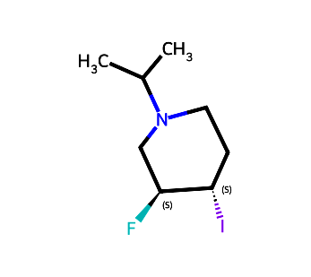 CC(C)N1CC[C@H](I)[C@@H](F)C1